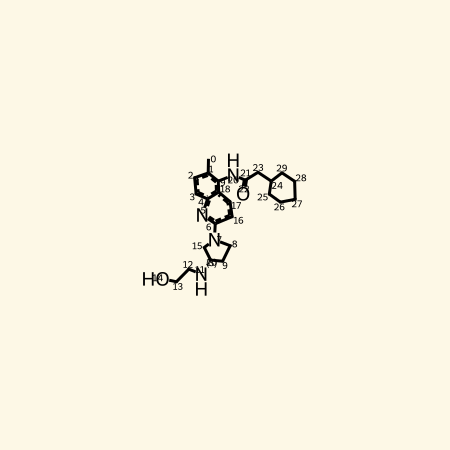 Cc1ccc2nc(N3CC[C@H](NCCO)C3)ccc2c1NC(=O)CC1CCCCC1